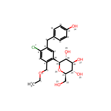 CCOCc1cc(Cl)c(Cc2ccc(O)cc2)cc1[C@@H]1O[C@H](CO)[C@@H](O)[C@H](O)[C@H]1O